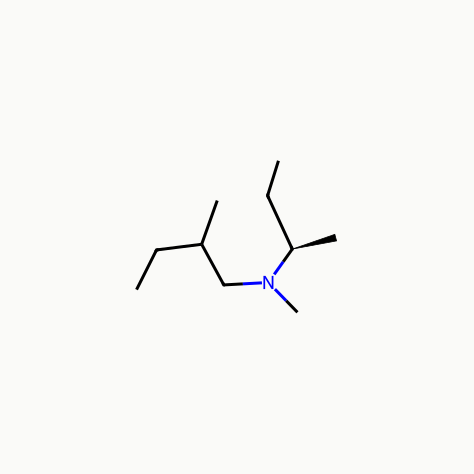 CCC(C)CN(C)[C@H](C)CC